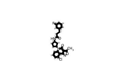 Cc1onc2c1c(=O)n(C1CCC(NC(=O)CCc3cccc(F)c3)C1)c1cccc(Cl)c21